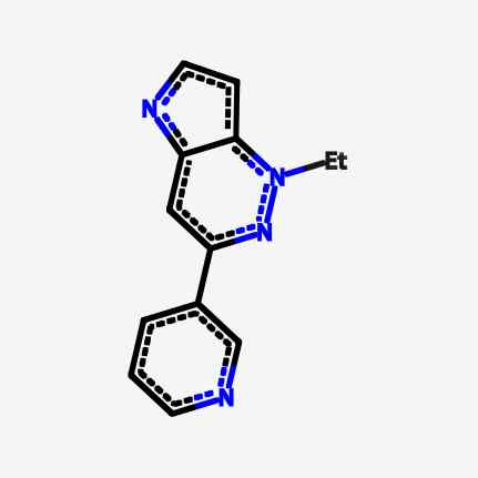 CCn1nc(-c2cccnc2)cc2nccc1-2